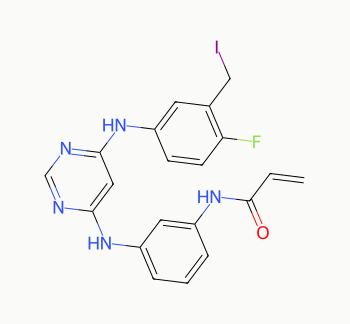 C=CC(=O)Nc1cccc(Nc2cc(Nc3ccc(F)c(CI)c3)ncn2)c1